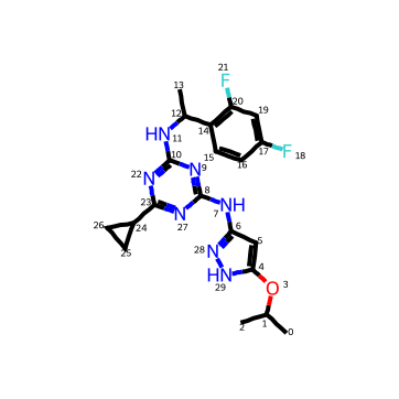 CC(C)Oc1cc(Nc2nc(NC(C)c3ccc(F)cc3F)nc(C3CC3)n2)n[nH]1